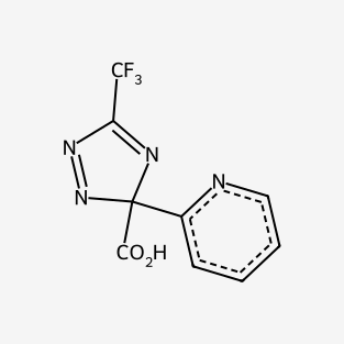 O=C(O)C1(c2ccccn2)N=NC(C(F)(F)F)=N1